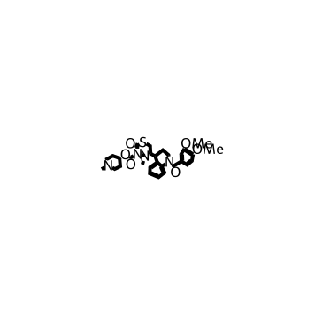 COc1ccc(C(=O)N2CCC(C3CSC(=O)N(C(=O)OC4CCN(C)CC4)N3C)c3ccccc32)cc1OC